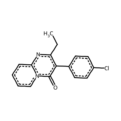 CCc1nc2ccccn2c(=O)c1-c1ccc(Cl)cc1